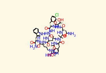 CNC(=N)NCCC[C@H](NC(=O)[C@H](CC(C)C)NC(=O)NNC(=O)[C@H](Cc1ccc(Cl)cc1)NC(=O)C(NC(=O)[C@H](CC(N)=O)NC(=O)C(C)(C)NC(=O)[C@@H](Cc1ccc(O)cc1)NC(C)=O)[C@@H](C)O)C(=O)N[C@@H](Cc1c[nH]c2ccccc12)C(N)=O